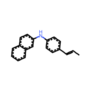 C/C=C/c1ccc(Nc2ccc3ccccc3c2)cc1